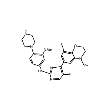 CNc1cc(Nc2ncc(F)c(-c3cc(F)c4c(c3)N(C(C)C)CCO4)n2)ccc1N1CCNCC1